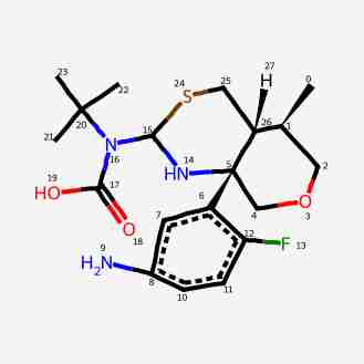 C[C@H]1COC[C@]2(c3cc(N)ccc3F)NC(N(C(=O)O)C(C)(C)C)SC[C@H]12